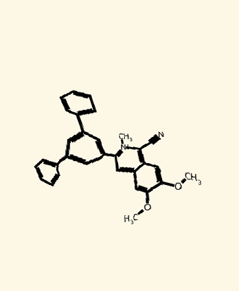 COc1cc2cc(-c3cc(-c4ccccc4)cc(-c4ccccc4)c3)[n+](C)c(C#N)c2cc1OC